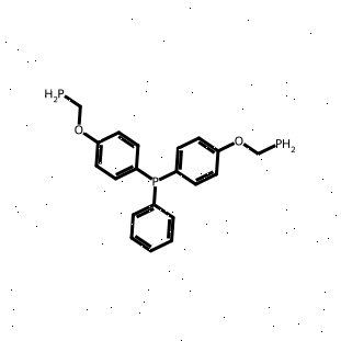 PCOc1ccc(P(c2ccccc2)c2ccc(OCP)cc2)cc1